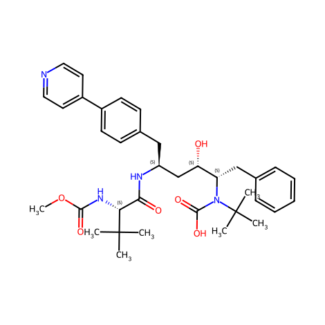 COC(=O)N[C@H](C(=O)N[C@@H](Cc1ccc(-c2ccncc2)cc1)C[C@H](O)[C@H](Cc1ccccc1)N(C(=O)O)C(C)(C)C)C(C)(C)C